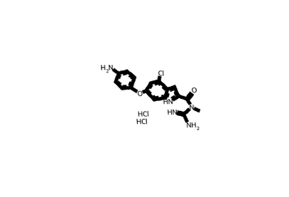 CN(C(=N)N)C(=O)c1cc2c(Cl)cc(Oc3ccc(N)cc3)cc2[nH]1.Cl.Cl